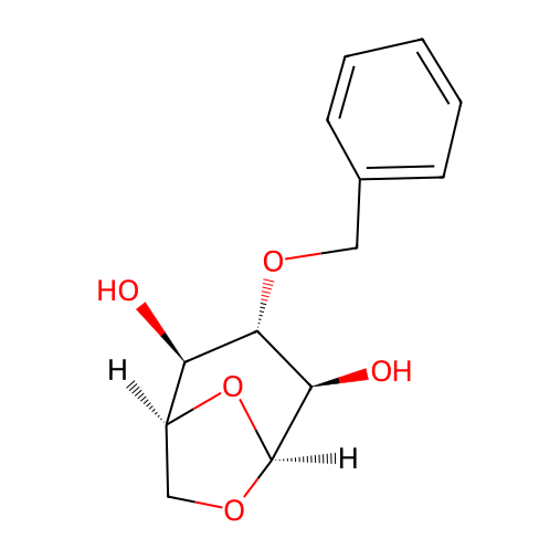 O[C@H]1[C@H]2OC[C@H](O2)[C@@H](O)[C@@H]1OCc1ccccc1